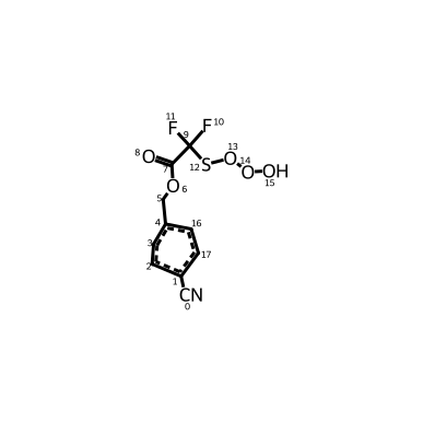 N#Cc1ccc(COC(=O)C(F)(F)SOOO)cc1